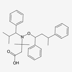 CC(CC(ON(C(c1ccccc1)C(C)C)C(C)(C)CC(=O)O)c1ccccc1)c1ccccc1